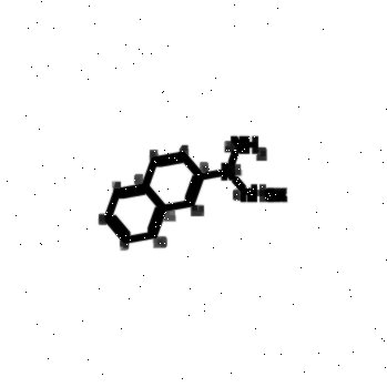 CCCCCCN(N)c1ccc2ccccc2c1